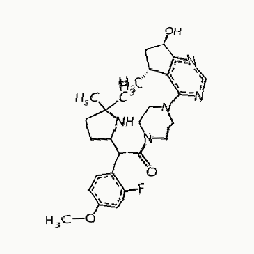 COc1ccc(C(C(=O)N2CCN(c3ncnc4c3[C@H](C)C[C@H]4O)CC2)C2CCC(C)(C)N2)c(F)c1